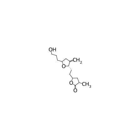 C=C1CC(CCCO)O[C@H]1CCC1CC(C)C(=O)O1